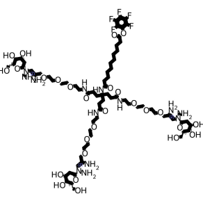 N/C(=C\N(N)[C@H]1C[C@@H](O)[C@@H](O)[C@@H](CO)O1)COCCOCCOCCNC(=O)CCC(CCC(=O)NCCOCCOCCOC/C(N)=C/N(N)[C@H]1C[C@@H](O)[C@@H](O)[C@@H](CO)O1)(CCC(=O)NCCOCCOCCOC/C(N)=C/N(N)[C@H]1C[C@@H](O)[C@@H](O)[C@@H](CO)O1)NC(=O)CCCCCCCCCCC(=O)Oc1c(F)c(F)c(F)c(F)c1F